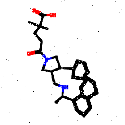 C[C@@H](NC[C@H]1CN(C(=O)CCC(C)(C)C(=O)O)C[C@@H]1c1ccccc1)c1cccc2ccccc12